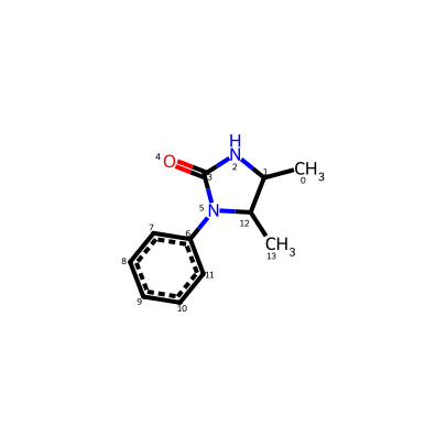 CC1NC(=O)N(c2ccccc2)C1C